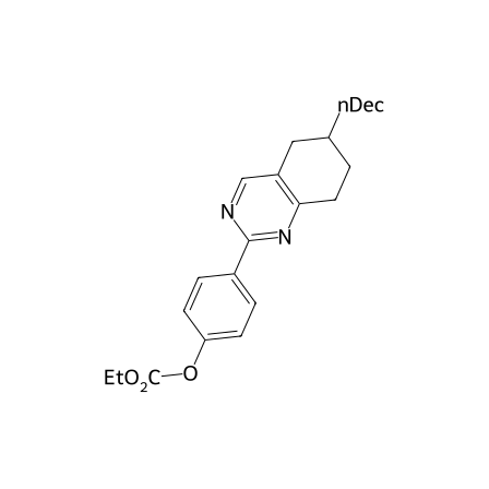 CCCCCCCCCCC1CCc2nc(-c3ccc(OC(=O)OCC)cc3)ncc2C1